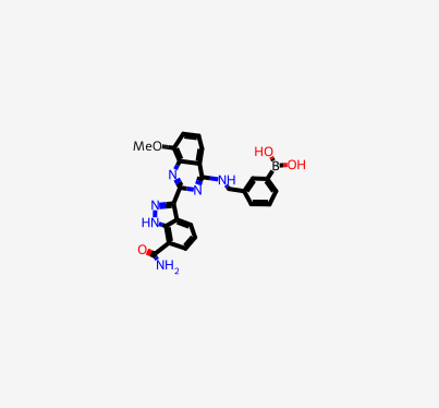 COc1cccc2c(NCc3cccc(B(O)O)c3)nc(-c3n[nH]c4c(C(N)=O)cccc34)nc12